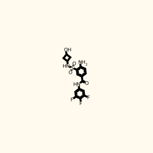 Nc1ccc(C(=O)Nc2cc(F)c(F)c(F)c2)cc1S(=O)(=O)NC1CC(O)C1